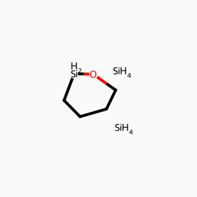 C1CC[SiH2]OC1.[SiH4].[SiH4]